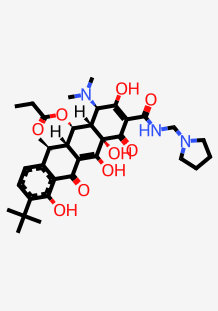 CCC(=O)O[C@H]1[C@@H]2C(=C(O)[C@@]3(O)C(=O)C(C(=O)NCN4CCCC4)=C(O)[C@H](N(C)C)[C@@H]13)C(=O)c1c(ccc(C(C)(C)C)c1O)[C@H]2C